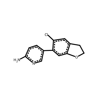 Nc1ccc(-c2cc3c(cc2Cl)CCO3)cn1